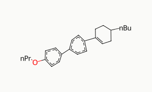 CCCCC1CC=C(c2ccc(-c3ccc(OCCC)cc3)cc2)CC1